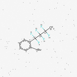 CCC[CH]c1ccccc1C(F)(F)C(F)(F)C(F)(F)C(F)(F)F